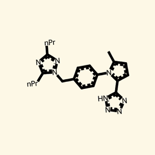 CCCc1nc(CCC)n(Cc2ccc(-n3c(C)ccc3-c3nnn[nH]3)cc2)n1